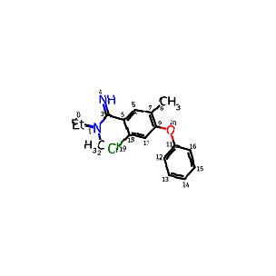 CCN(C)C(=N)c1cc(C)c(Oc2ccccc2)cc1Cl